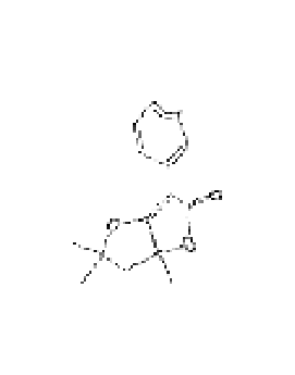 CC1(C)CC2(C)OC(=O)C(c3ccccc3)=C2O1